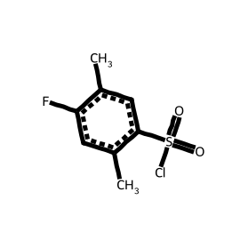 Cc1cc(S(=O)(=O)Cl)c(C)cc1F